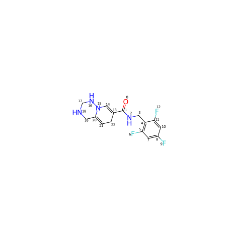 O=C(NCc1c(F)cc(F)cc1F)C1=CN2NCNCC2=CC1